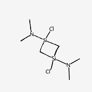 CN(C)[Si]1(Cl)C[Si](Cl)(N(C)C)C1